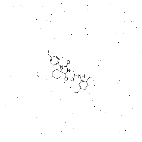 CCc1ccc(N2C(=O)N(CC(=O)Nc3cc(CC)ccc3CC)C(=O)C23CCCCC3)cc1